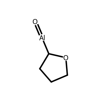 [O]=[Al][CH]1CCCO1